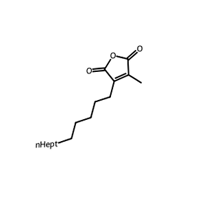 CCCCCCCCCCCCC1=C(C)C(=O)OC1=O